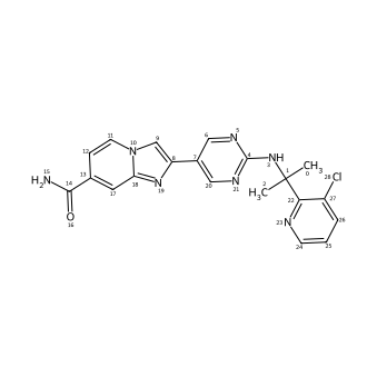 CC(C)(Nc1ncc(-c2cn3ccc(C(N)=O)cc3n2)cn1)c1ncccc1Cl